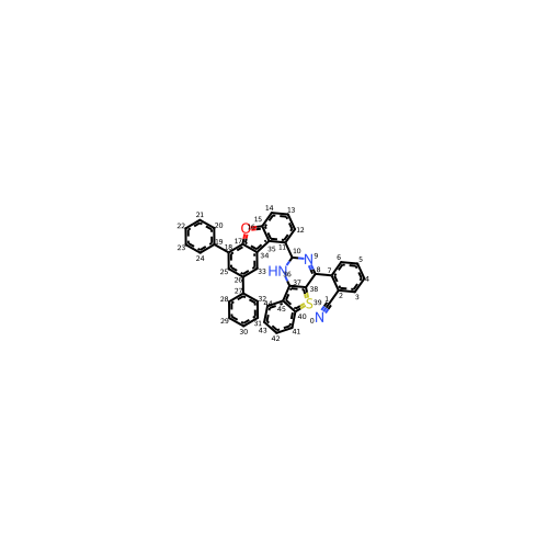 N#Cc1ccccc1C1=NC(c2cccc3oc4c(-c5ccccc5)cc(-c5ccccc5)cc4c23)Nc2c1sc1ccccc21